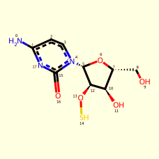 Nc1ccn([C@@H]2O[C@H](CO)[C@@H](O)[C@H]2OS)c(=O)n1